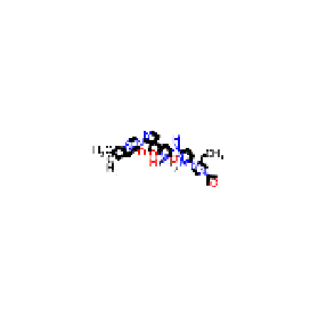 CC[C@H]1CN(C2COC2)CCN1c1ccc(Nc2cc(-c3ccnc(-n4ccn5c6c(cc5c4=O)CC(C)(C)C6)c3CO)cn(C)c2=O)nn1